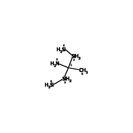 CC(N)([SiH2][SiH3])[SiH2][SiH3]